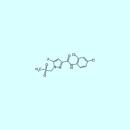 CS(=O)(=O)Cn1nc(C(=O)Nc2ccc(Cl)cc2Cl)cc1F